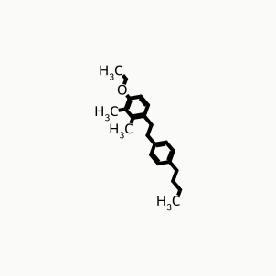 CCCCc1ccc(CCc2ccc(OCC)c(C)c2C)cc1